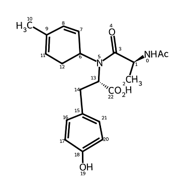 CC(=O)N[C@@H](C)C(=O)N(C1C=CC(C)=CC1)[C@@H](Cc1ccc(O)cc1)C(=O)O